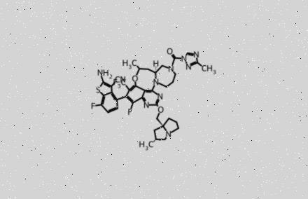 Cc1ncn(C(=O)N2CCCN3c4nc(OC[C@@]56CCCN5C[C@H](C)C6)nc5c(F)c(-c6ccc(F)c7sc(N)c(C#N)c67)c(C(F)(F)F)c(c45)OC(C)C[C@H]3C2)n1